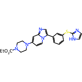 CCOC(=O)N1CCN(c2ccn3c(-c4cccc(Sc5ncc[nH]5)c4)cnc3c2)CC1